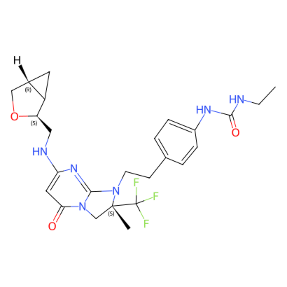 CCNC(=O)Nc1ccc(CCN2c3nc(NC[C@H]4OC[C@@H]5CC54)cc(=O)n3C[C@@]2(C)C(F)(F)F)cc1